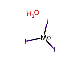 O.[I][Mo]([I])[I]